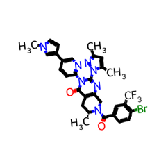 Cc1cc(C)n(-c2nc3c(c(=O)n2-c2ccc(-c4ccn(C)c4)cn2)C[C@@H](C)N(C(=O)c2ccc(Br)c(C(F)(F)F)c2)C3)n1